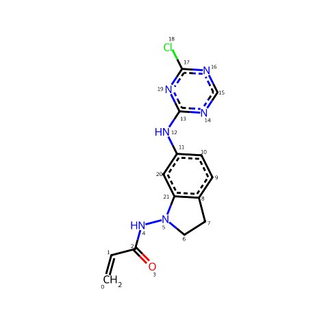 C=CC(=O)NN1CCc2ccc(Nc3ncnc(Cl)n3)cc21